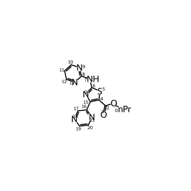 CCCOC(=O)c1sc(Nc2ncccn2)nc1-c1cnccn1